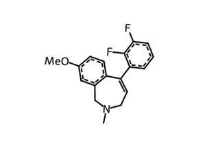 COc1ccc2c(c1)CN(C)CC=C2c1cccc(F)c1F